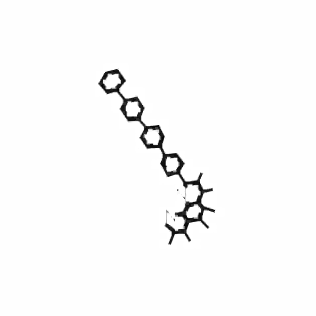 Cc1cnc2c(c1C)c(C)c(C)c1c(C)c(C)c(-c3ccc(-c4ccc(-c5ccc(-c6ccccc6)cc5)cc4)cc3)nc12